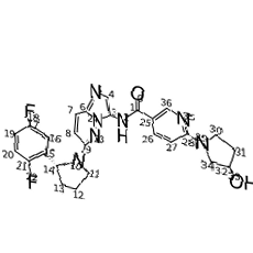 O=C(Nc1cnc2ccc(N3CCC[C@@H]3c3cc(F)ccc3F)nn12)c1ccc(N2CC[C@@H](O)C2)nc1